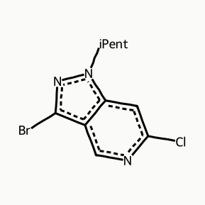 CCCC(C)n1nc(Br)c2cnc(Cl)cc21